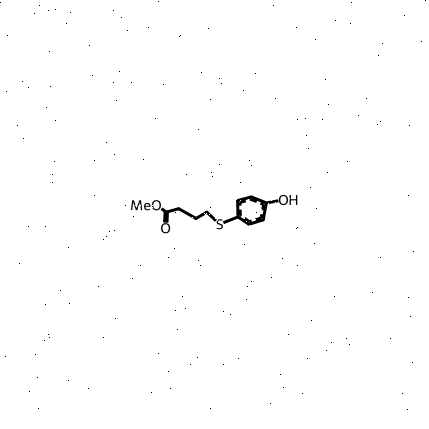 COC(=O)CCCSc1ccc(O)cc1